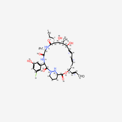 CC(=O)CC[C@H]1C(=O)N[C@@H](C(C)C)C(=O)NC(c2cc(O)cc(F)c2)C(=O)N2CCCC(N2)C(=O)O[C@H](/C=C/C=O)C/C=C/C=C/[C@H](O)[C@H](C)[C@H]1O